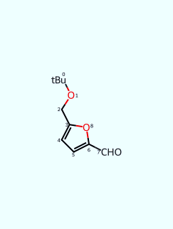 CC(C)(C)OCc1ccc(C=O)o1